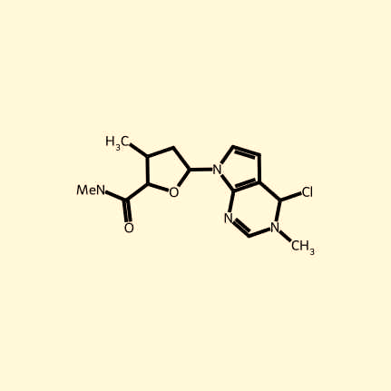 CNC(=O)C1OC(n2ccc3c2N=CN(C)C3Cl)CC1C